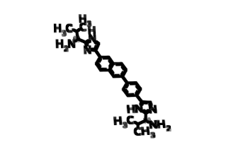 CC(C)[C@H](N)c1nc(-c2ccc3cc(-c4ccc(-c5cnc([C@@H](N)C(C)C)[nH]5)cc4)ccc3c2)c[nH]1